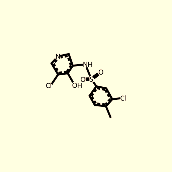 Cc1ccc(S(=O)(=O)Nc2cncc(Cl)c2O)cc1Cl